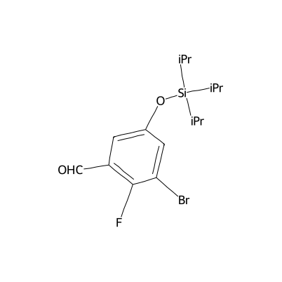 CC(C)[Si](Oc1cc(Br)c(F)c(C=O)c1)(C(C)C)C(C)C